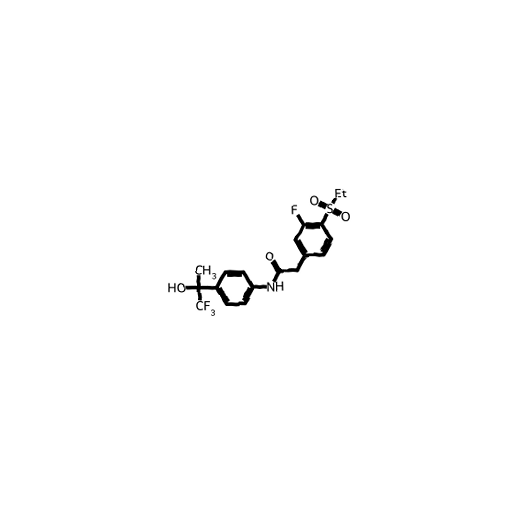 CCS(=O)(=O)c1ccc(CC(=O)Nc2ccc(C(C)(O)C(F)(F)F)cc2)cc1F